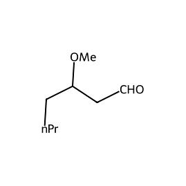 CCCCC(CC=O)OC